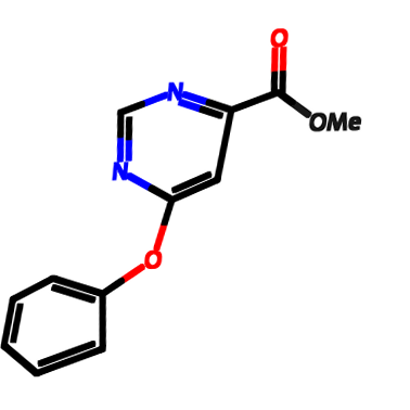 COC(=O)c1cc(Oc2ccccc2)ncn1